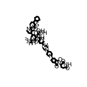 [2H]C([2H])([2H])n1cc(-c2ccnc(N3CCc4c(sc5c4CCCC5)C3=O)c2COP(=O)(O)O)cc(Nc2ccc(N3CCN(C4CCN(c5ccc6c(c5)C(=O)N(C5CCC(=O)NC5=O)C6=O)CC4)C[C@@H]3C)cn2)c1=O